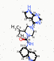 CC(C)C1CN(c2ncnc3[nH]ccc23)CCN1C(=O)Nc1cccc2ncccc12